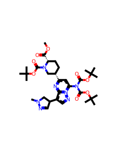 COC(=O)[C@@H]1CC[C@H](c2cc(N(C(=O)OC(C)(C)C)C(=O)OC(C)(C)C)n3ncc(C4C=NN(C)C4)c3n2)CN1C(=O)OC(C)(C)C